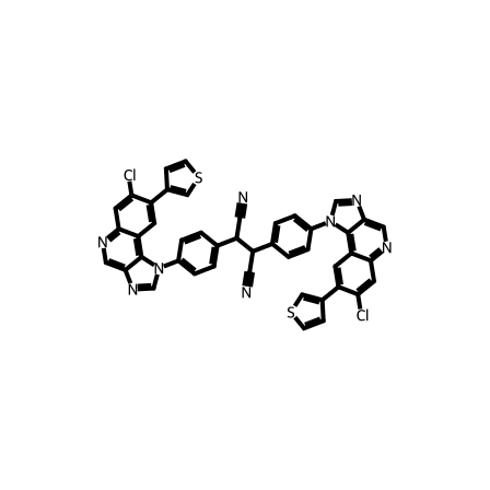 N#CC(c1ccc(-n2cnc3cnc4cc(Cl)c(-c5ccsc5)cc4c32)cc1)C(C#N)c1ccc(-n2cnc3cnc4cc(Cl)c(-c5ccsc5)cc4c32)cc1